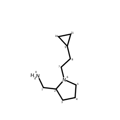 NCC1CCCN1CCC1CC1